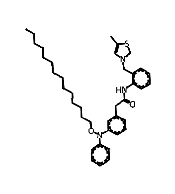 CCCCCCCCCCCCCCON(c1ccccc1)c1cccc(CC(=O)Nc2ccccc2CN2C=C(C)SC2)c1